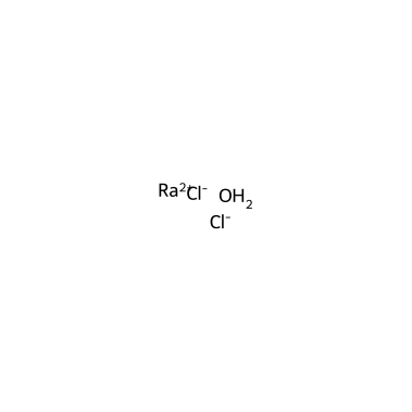 O.[Cl-].[Cl-].[Ra+2]